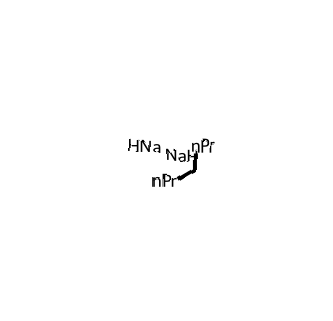 CCCCCCC.[NaH].[NaH]